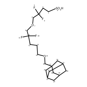 O=S(=O)(O)CCC(F)(F)COCC(F)(F)CCCOCC12CC3CC(CC(C3)C1)C2